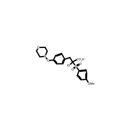 CCC(Cc1ccc(ON2CCOCC2)cc1)(C(=O)O)S(=O)(=O)c1ccc(OC)cc1